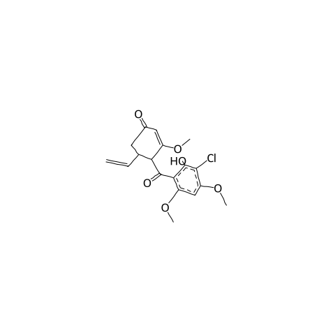 C=CC1CC(=O)C=C(OC)C1C(=O)c1c(OC)cc(OC)c(Cl)c1O